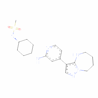 CS(=O)(=O)N[C@H]1CC[C@H](Nc2cc(-c3cnn4c3NCCCC4)ccn2)CC1